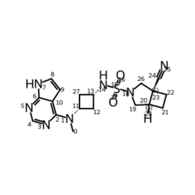 CN(c1ncnc2[nH]ccc12)[C@H]1C[C@@H](NS(=O)(=O)N2C[C@H]3CC[C@@]3(C#N)C2)C1